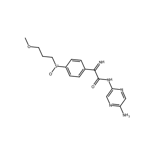 COCCC[S+]([O-])c1ccc(C(=N)C(=O)Nc2cnc(N)cn2)cc1